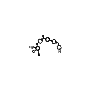 Cc1c(OC2CCN(C(=O)c3ccc(N4CCN(CC5CCNCC5)CC4)cc3)CC2)ccc(C#N)c1Cl